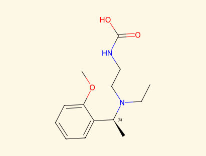 CCN(CCNC(=O)O)[C@@H](C)c1ccccc1OC